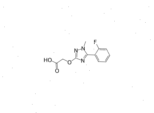 Cn1nc(OCC(=O)O)nc1-c1ccccc1F